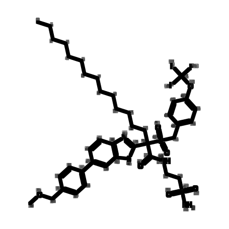 CCCCCCCCCCCCCCC(C(=O)NCCS(N)(=O)=O)(c1nc2ccc(-c3ccc(COC)cc3)cc2s1)S(=O)(=O)Cc1ccc(OC(F)(F)F)cc1